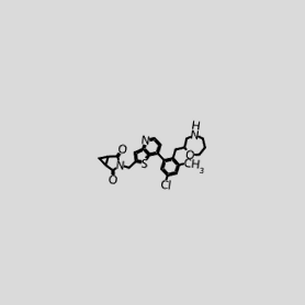 Cc1cc(Cl)cc(-c2ccnc3cc(CN4C(=O)C5CC5C4=O)sc23)c1CC1CNCCCO1